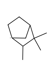 CC1[C]2CCC(C2)C1(C)C